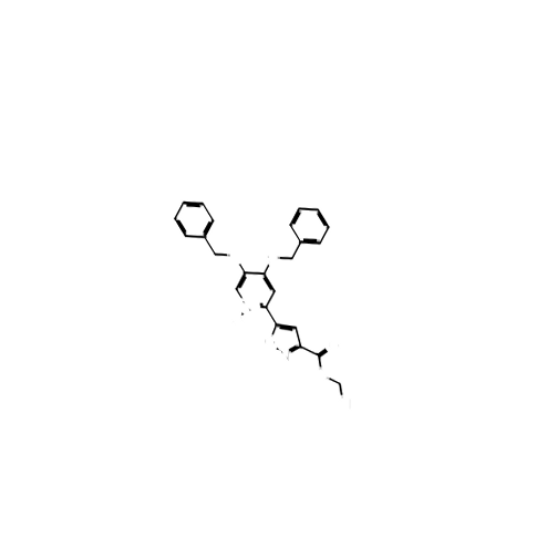 CCOC(=O)c1cc(-c2cc(OCc3ccccc3)c(OCc3ccccc3)c[n+]2[O-])on1